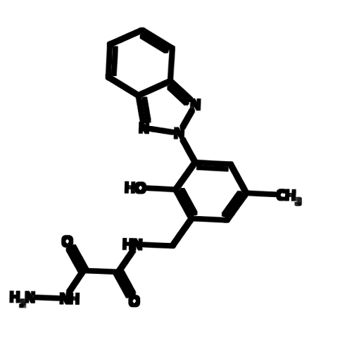 Cc1cc(CNC(=O)C(=O)NN)c(O)c(-n2nc3ccccc3n2)c1